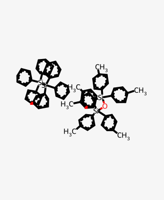 Cc1ccc([Si](O[Si](c2ccc(C)cc2)(c2ccc(C)cc2)c2ccc(C)cc2)(c2ccc(C)cc2)c2ccc(C)cc2)cc1.c1ccc([Si](c2ccccc2)(c2ccccc2)[Si](c2ccccc2)(c2ccccc2)c2ccccc2)cc1